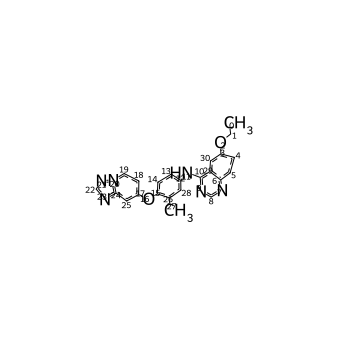 CCOc1ccc2ncnc(Nc3ccc(Oc4ccn5ncnc5c4)c(C)c3)c2c1